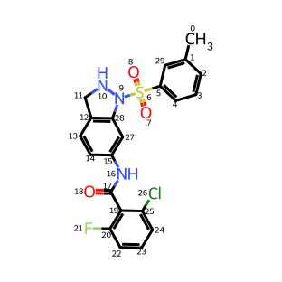 Cc1cccc(S(=O)(=O)N2NCc3ccc(NC(=O)c4c(F)cccc4Cl)cc32)c1